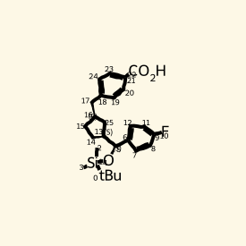 CC(C)(C)[Si](C)(C)O[C@H](c1ccc(F)cc1)[C@H]1CC[C@@H](Cc2ccc(C(=O)O)cc2)C1